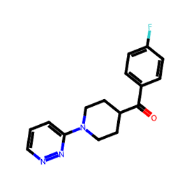 O=C(c1ccc(F)cc1)C1CCN(c2cccnn2)CC1